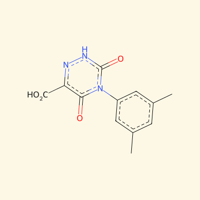 Cc1cc(C)cc(-n2c(=O)[nH]nc(C(=O)O)c2=O)c1